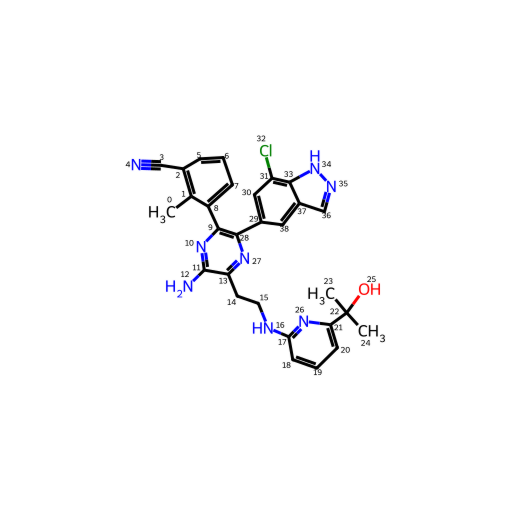 Cc1c(C#N)cccc1-c1nc(N)c(CCNc2cccc(C(C)(C)O)n2)nc1-c1cc(Cl)c2[nH]ncc2c1